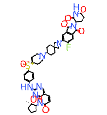 C[C@@]1(O)CCCC1n1c(=O)ccc2cnc(Nc3ccc([S+]([O-])C4CCN(C5CCC6(CC5)CN(c5cc7c(cc5F)C(=O)N(C5CCC(=O)NC5=O)C7=O)C6)CC4)cc3)nc21